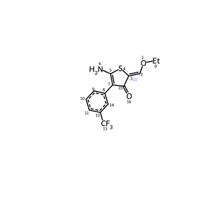 CCO/C=C1\SC(N)=C(c2cccc(C(F)(F)F)c2)C1=O